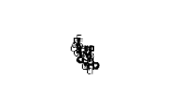 O=C(OC(Cl)(Cl)C(=O)N(Cc1oc(=O)oc1C1CCCN1)c1cccc(-c2cc(-c3c(Cl)cccc3Cl)no2)c1)C(F)(F)F